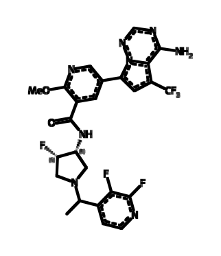 COc1ncc(-c2cc(C(F)(F)F)c3c(N)ncnn23)cc1C(=O)N[C@@H]1CN(C(C)c2ccnc(F)c2F)C[C@@H]1F